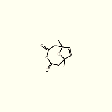 CC12C=CC(C)(CC(=O)OC(=O)C1)O2